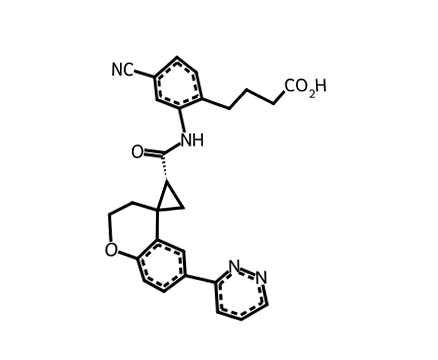 N#Cc1ccc(CCCC(=O)O)c(NC(=O)[C@@H]2CC23CCOc2ccc(-c4cccnn4)cc23)c1